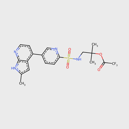 Cc1cc2c(-c3ccc(S(=O)(=O)NCC(C)(C)OC(=O)C(F)(F)F)nc3)ccnc2[nH]1